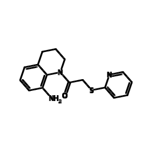 Nc1cccc2c1N(C(=O)CSc1ccccn1)CCC2